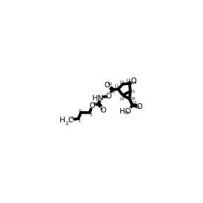 CCCCOC(=O)NOC(=O)C1CC(=O)C2C(C(=O)O)C12